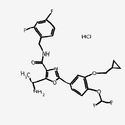 C[C@H](N)c1oc(-c2ccc(OC(F)F)c(OCC3CC3)c2)nc1C(=O)NCc1ccc(F)cc1F.Cl